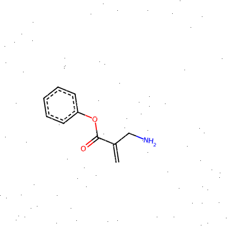 C=C(CN)C(=O)Oc1ccccc1